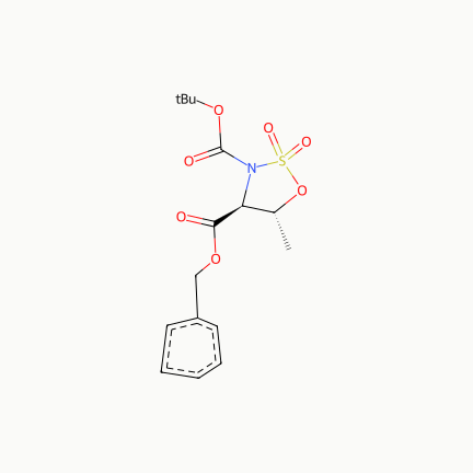 C[C@H]1OS(=O)(=O)N(C(=O)OC(C)(C)C)[C@@H]1C(=O)OCc1ccccc1